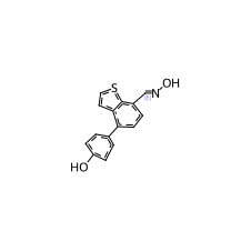 O/N=C/c1ccc(-c2ccc(O)cc2)c2ccsc12